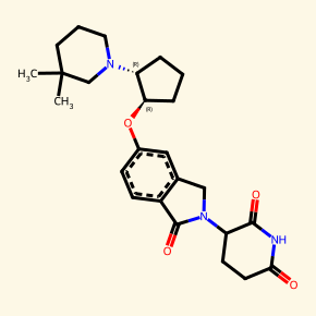 CC1(C)CCCN([C@@H]2CCC[C@H]2Oc2ccc3c(c2)CN(C2CCC(=O)NC2=O)C3=O)C1